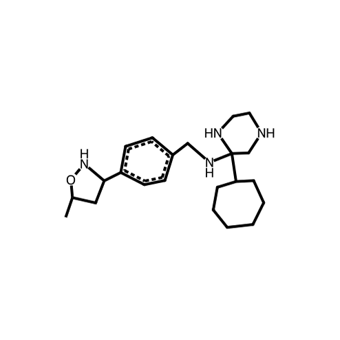 CC1CC(c2ccc(CNC3(C4CCCCCC4)CNCCN3)cc2)NO1